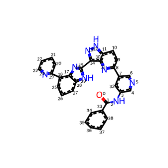 O=C(Nc1cncc(-c2ccc3[nH]nc(-c4nc5c(-c6ccccn6)cccc5[nH]4)c3n2)c1)c1ccccc1